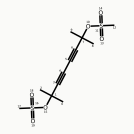 CC(C)(C#CC#CC(C)(C)OS(C)(=O)=O)OS(C)(=O)=O